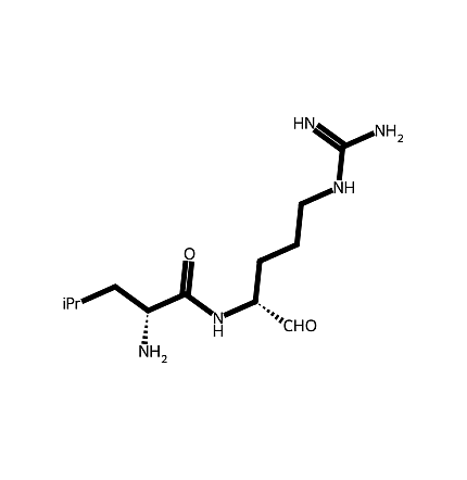 CC(C)C[C@@H](N)C(=O)N[C@@H](C=O)CCCNC(=N)N